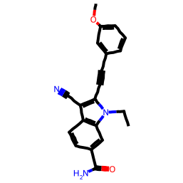 CCn1c(C#Cc2cccc(OC)c2)c(C#N)c2ccc(C(N)=O)cc21